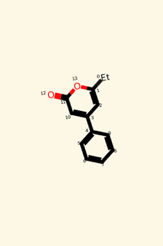 CCc1cc(-c2ccccc2)cc(=O)o1